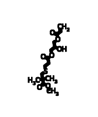 C=CC(=O)OCC(O)COC(=O)CCSCC(C)(C)C(=O)OC